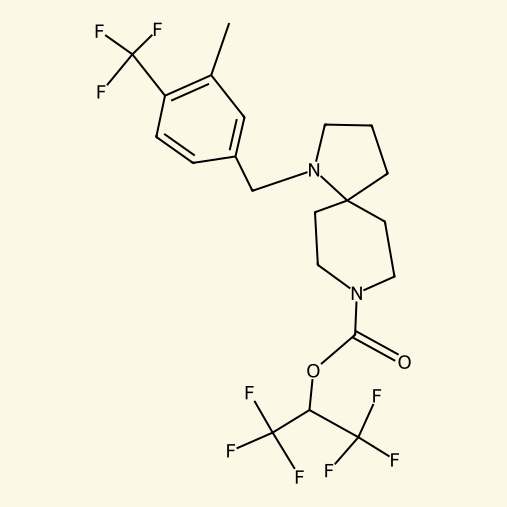 Cc1cc(CN2CCCC23CCN(C(=O)OC(C(F)(F)F)C(F)(F)F)CC3)ccc1C(F)(F)F